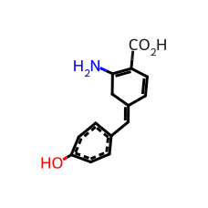 NC1=C(C(=O)O)C=CC(=Cc2ccc(O)cc2)C1